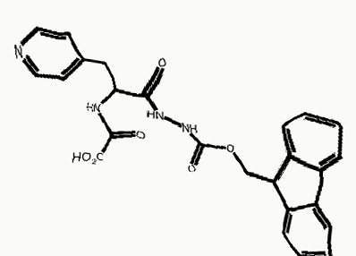 O=C(NNC(=O)C(Cc1ccncc1)NC(=O)C(=O)O)OCC1c2ccccc2-c2ccccc21